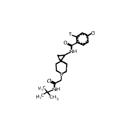 CC(C)(C)NC(=O)CN1CCC2(CC1)CC2NC(=O)c1ccc(Cl)cc1F